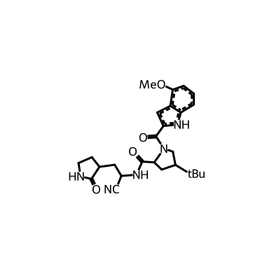 COc1cccc2[nH]c(C(=O)N3CC(C(C)(C)C)CC3C(=O)NC(C#N)CC3CCNC3=O)cc12